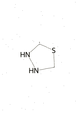 [CH]1NNCS1